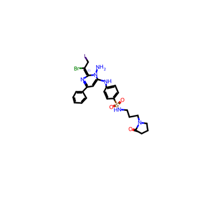 NN1C(Nc2ccc(S(=O)(=O)NCCCN3CCCC3=O)cc2)=CC(c2ccccc2)=N/C1=C(\Br)CI